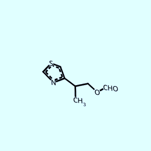 CC(COC=O)c1cscn1